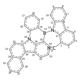 Cc1cccc2c3ccccc3n(B3c4ccccc4-n4c5ccc6ccccc6c5c5cccc3c54)c12